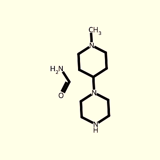 CN1CCC(N2CCNCC2)CC1.NC=O